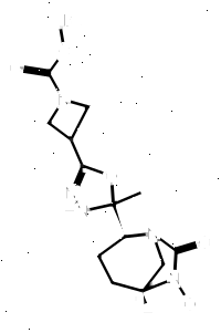 CC(C)(C)OC(=O)N1CC(C2=NNC(C)([C@@H]3CC[C@@H]4CN3C(=O)N4O)O2)C1